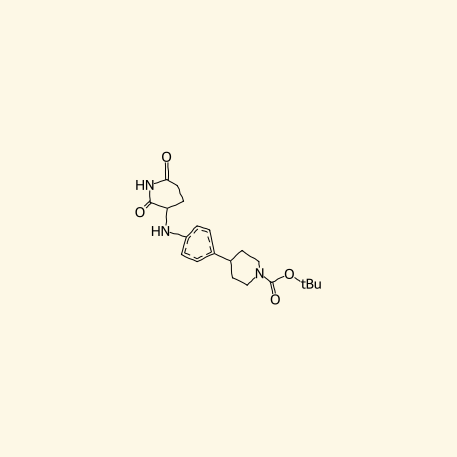 CC(C)(C)OC(=O)N1CCC(c2ccc(NC3CCC(=O)NC3=O)cc2)CC1